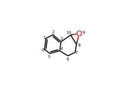 c1ccc2c(c1)CCC1OC21